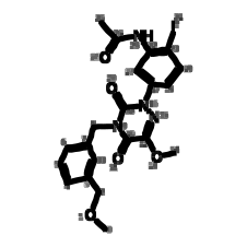 COCc1cccc(Cn2c(=O)c(OC)nn(-c3ccc(F)c(NC(C)=O)c3)c2=O)c1